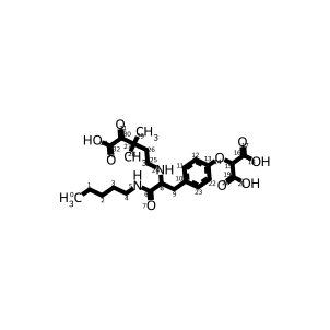 CCCCCNC(=O)C(Cc1ccc(OC(C(=O)O)C(=O)O)cc1)NCCC(C)(C)C(=O)C(=O)O